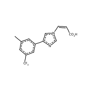 Cc1cc(-c2cn(/C=C\C(=O)O)cn2)cc(C(F)(F)F)c1